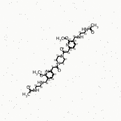 COc1nc(CC(=O)N2CCN(C(=O)Cc3ccc(CNCCNC(C)=O)c(OC)n3)CC2)ccc1CNCCNC(C)=O